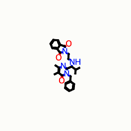 Cc1nc(C(NCCN2C(=O)c3ccccc3C2=O)C(C)C)n(Cc2ccccc2)c(=O)c1C